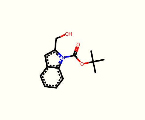 CC(C)(C)OC(=O)n1c(CO)cc2ccccc21